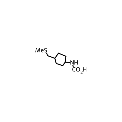 CSCC1CCC(NC(=O)O)CC1